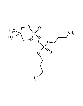 CCCCOP(=O)(COP1(=O)OCC(C)(C)CO1)OCCCC